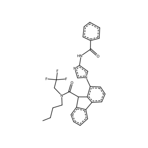 CCCCN(CC(F)(F)F)C(=O)C1c2ccccc2-c2cccc(-n3cnc(NC(=O)c4ccccc4)c3)c21